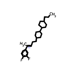 CCCC1CCC(C2CCC(CC/C=C(\C)c3ccc(F)c(F)c3)CC2)CC1